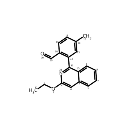 CCOc1cc2ccccc2c(-c2cc(C)ccc2C=O)n1